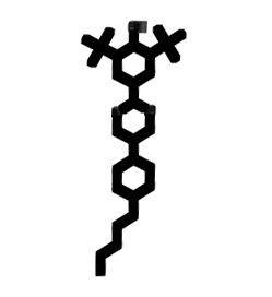 CCCCCC1CCC(C2COC(C3CC(C(C)(C)C)C(O)C(C(C)(C)C)C3)OC2)CC1